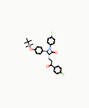 CC(C)(C)[Si](C)(C)Oc1ccc([C@@H]2[C@@H](CCC(=O)c3ccc(F)cc3)C(=O)N2c2ccc(F)cc2)cc1